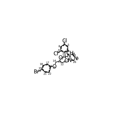 C[N+]1(C2(c3ccc(Cl)cc3Cl)OCC(COc3ccc(Br)cc3)O2)C=NC=N1